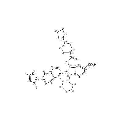 Cc1nc(C)c(-c2ccc3cc(-c4c(C5CCCCC5)c5ccc(C(=O)O)cc5n4CC(=O)N4CCC(N5CCCC5)CC4)ccc3n2)s1